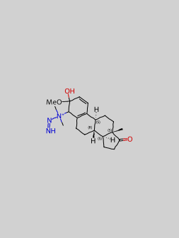 COC1(O)C=CC2=C(CC[C@@H]3[C@@H]2CC[C@]2(C)C(=O)CC[C@@H]32)C1[N+](C)(C)N=N